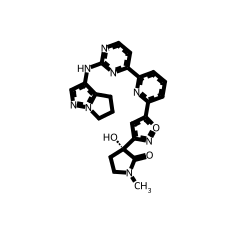 CN1CC[C@@](O)(c2cc(-c3cccc(-c4ccnc(Nc5cnn6c5CCC6)n4)n3)on2)C1=O